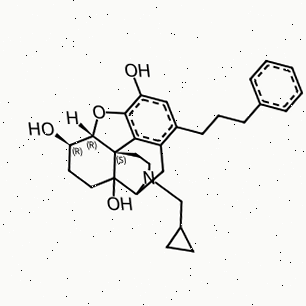 Oc1cc(CCCc2ccccc2)c2c3c1O[C@H]1[C@H](O)CCC4(O)C(C2)N(CC2CC2)CC[C@]314